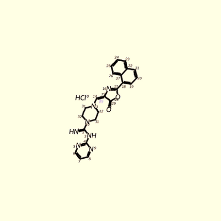 Cl.N=C(Nc1ncccn1)N1CCN(/C=C2/N=C(c3cccc4ccccc34)OC2=O)CC1